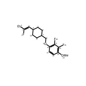 CC/C(F)=C/C1CCC(COc2ccc(OC)c(F)c2F)CC1